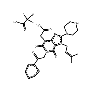 CC(C)=CCn1c(N2CCNCC2)nc2c1c(=O)n(CC(=O)c1ccccc1)c(=O)n2CC(N)=O.O=C(O)C(F)(F)F